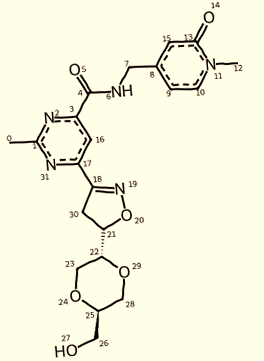 Cc1nc(C(=O)NCc2ccn(C)c(=O)c2)cc(C2=NOC([C@H]3CO[C@H](CO)CO3)C2)n1